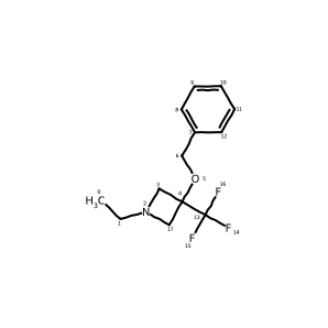 CCN1CC(OCc2ccccc2)(C(F)(F)F)C1